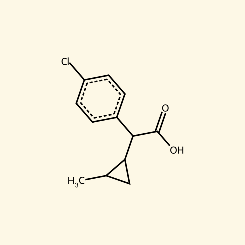 CC1CC1C(C(=O)O)c1ccc(Cl)cc1